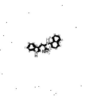 NC(=O)C(Cc1c[nH]c2ccccc12)NC1CCCc2ccccc21